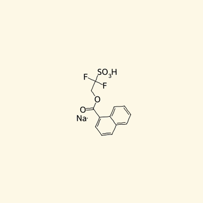 O=C(OCC(F)(F)S(=O)(=O)O)c1cccc2ccccc12.[Na]